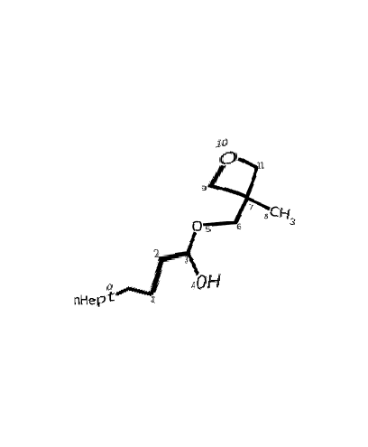 CCCCCCCCCC(O)OCC1(C)COC1